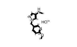 CNc1cnn(Cc2ccc(OC)nc2)c1.Cl